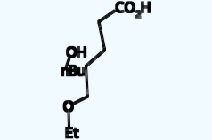 CCCCO.CCOCCCCC(=O)O